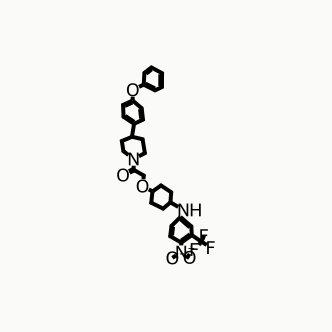 O=C(COC1CCC(Nc2ccc([N+](=O)[O-])c(C(F)(F)F)c2)CC1)N1CCC(c2ccc(Oc3ccccc3)cc2)CC1